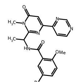 COc1ccc(Br)cc1C(=O)NC(C)c1nc(-c2ccncn2)cc(=O)n1C